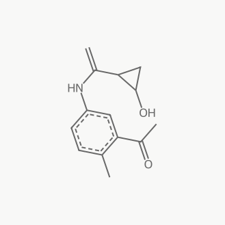 C=C(Nc1ccc(C)c(C(C)=O)c1)C1CC1O